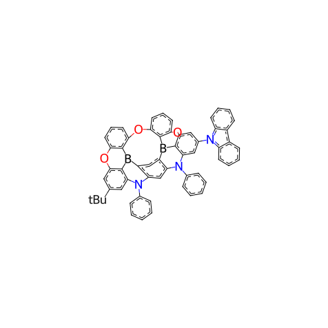 CC(C)(C)c1cc2c3c(c1)N(c1ccccc1)c1cc4c5cc1B3c1c(cccc1O2)Oc1cccc2c1B5c1c(cc(-n3c5ccccc5c5ccccc53)cc1N4c1ccccc1)O2